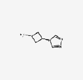 CN1CC(n2cnnc2)C1